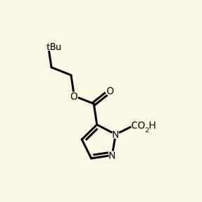 CC(C)(C)CCOC(=O)c1ccnn1C(=O)O